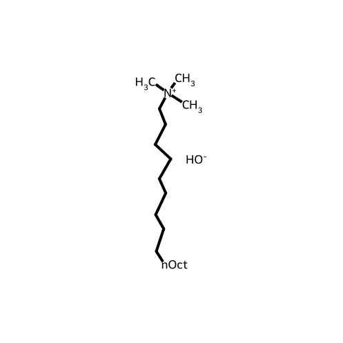 CCCCCCCCCCCCCCCCC[N+](C)(C)C.[OH-]